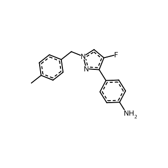 Cc1ccc(Cn2cc(F)c(-c3ccc(N)cc3)n2)cc1